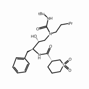 CC(C)CCN(C[C@@H](O)[C@H](Cc1ccccc1)NC(=O)[C@H]1CCCS(=O)(=O)C1)C(=O)NC(C)(C)C